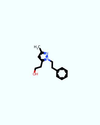 Cc1cc(CCO)n(CCc2ccccc2)n1